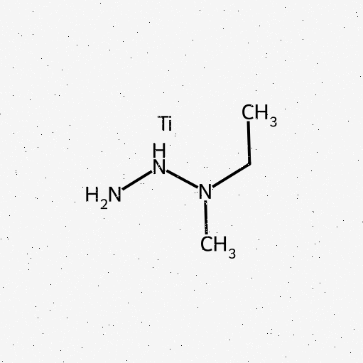 CCN(C)NN.[Ti]